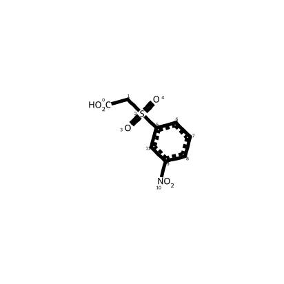 O=C(O)CS(=O)(=O)c1[c]ccc([N+](=O)[O-])c1